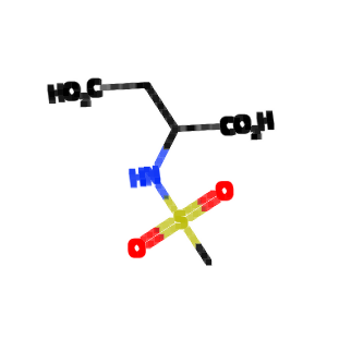 CS(=O)(=O)NC(CC(=O)O)C(=O)O